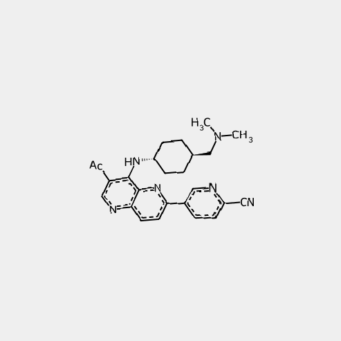 CC(=O)c1cnc2ccc(-c3ccc(C#N)nc3)nc2c1N[C@H]1CC[C@H](CN(C)C)CC1